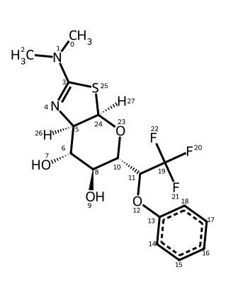 CN(C)C1=N[C@@H]2[C@@H](O)[C@H](O)[C@@H](C(Oc3ccccc3)C(F)(F)F)O[C@@H]2S1